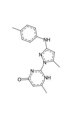 Cc1ccc(Nc2cc(C)n(-c3nc(=O)cc(C)[nH]3)n2)cc1